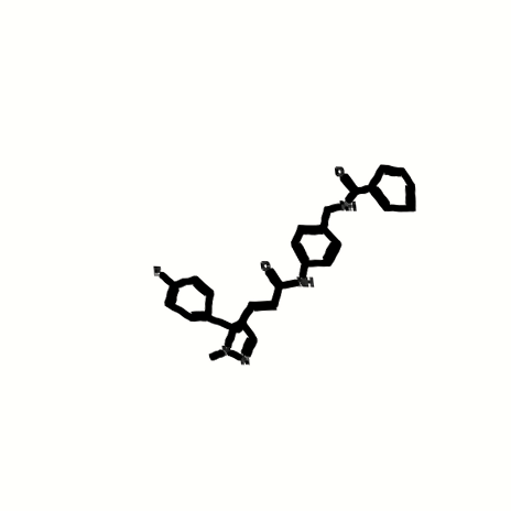 Cn1ncc(C=CC(=O)Nc2ccc(CNC(=O)c3ccccc3)cc2)c1-c1ccc(F)cc1